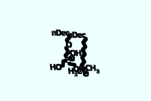 CCCCCCCCCCCCCCCCCCP(C)(C)=O.CCCCCCCCCCCCOCC(O)CP(=O)(CCO)CCO